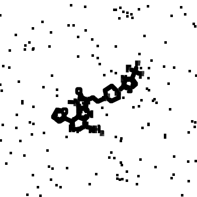 Cn1c(=O)n(CCN2CCN(c3nc(C(F)(F)F)cs3)CC2)c2nc3c(n21)C(c1ccco1)=NCN3N